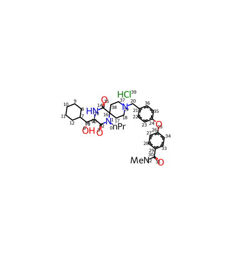 CCCN1C(=O)[C@@H]([C@H](O)C2CCCCC2)NC(=O)C12CCN(Cc1ccc(Oc3ccc(C(=O)NC)cc3)cc1)CC2.Cl